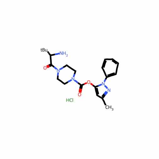 Cc1cc(OC(=O)N2CCN(C(=O)C(N)C(C)(C)C)CC2)n(-c2ccccc2)n1.Cl